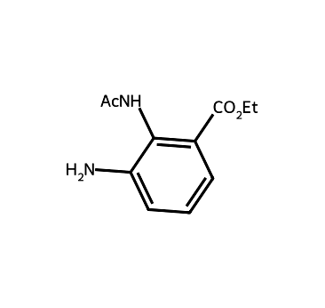 CCOC(=O)c1cccc(N)c1NC(C)=O